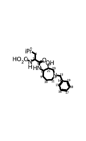 CC(C)CC(NC(=O)O)C(=O)NC1CCCN(Cc2ccccc2)C[C@@H]1O